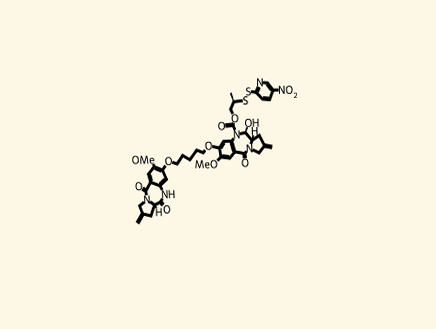 C=C1C[C@H]2C(=O)Nc3cc(OCCCCCOc4cc5c(cc4OC)C(=O)N4CC(=C)C[C@H]4[C@H](O)N5C(=O)OC[C@@H](C)SSc4ccc([N+](=O)[O-])cn4)c(OC)cc3C(=O)N2C1